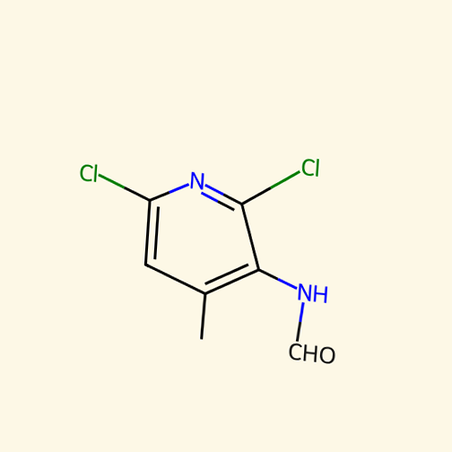 Cc1cc(Cl)nc(Cl)c1NC=O